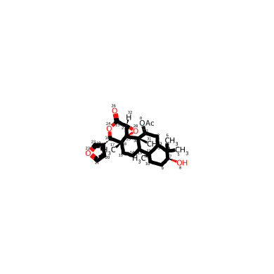 CC(=O)OC1CC2C(C)(C)[C@@H](O)CC[C@]2(C)C2CC[C@]3(C)[C@H](c4ccoc4)OC(=O)[C@H]4O[C@]43[C@]12C